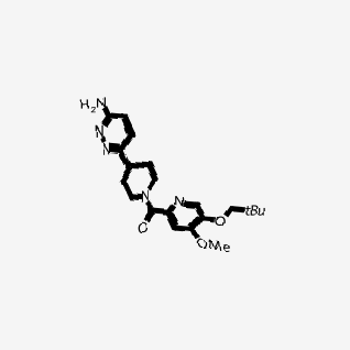 COc1cc(C(=O)N2CCC(c3ccc(N)nn3)CC2)ncc1OCC(C)(C)C